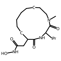 CC(C)C1NC(=O)C(CC(=O)NO)CCCCCCCCN(C)C1=O